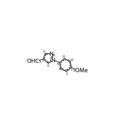 COc1ccc(-n2cc(C=O)cn2)cc1